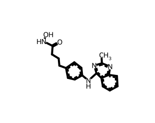 Cc1nc(Nc2ccc(CCCC(=O)NO)cc2)c2ccccc2n1